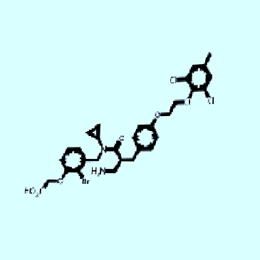 Cc1cc(Cl)c(OCCOc2ccc(CC(CN)C(=O)N(Cc3cccc(OCC(=O)O)c3Br)C3CC3)cc2)c(Cl)c1